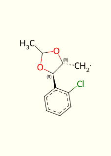 [CH2][C@H]1OC(C)O[C@@H]1c1ccccc1Cl